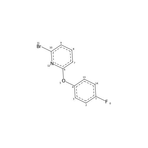 Fc1ccc(Oc2cccc(Br)n2)cc1